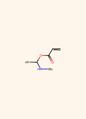 C=CC(=O)OC(CCC)NC(C)(C)C